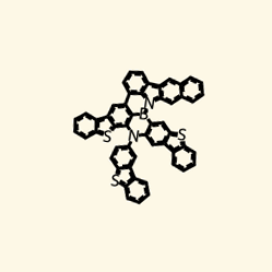 c1ccc2cc3c(cc2c1)c1cccc2c1n3B1c3cc4sc5ccccc5c4cc3N(c3ccc4sc5ccccc5c4c3)c3c1c-2cc1c3sc2ccccc21